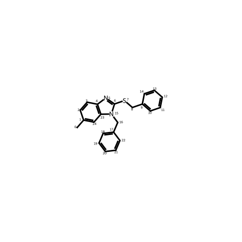 Cc1ccc2nc(SCc3ccccc3)n(Cc3ccccc3)c2c1